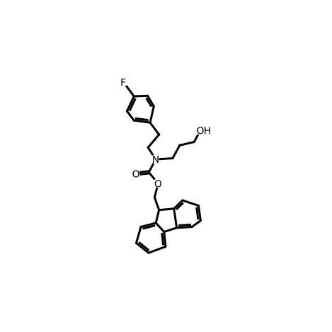 O=C(OCC1c2ccccc2-c2ccccc21)N(CCCO)CCc1ccc(F)cc1